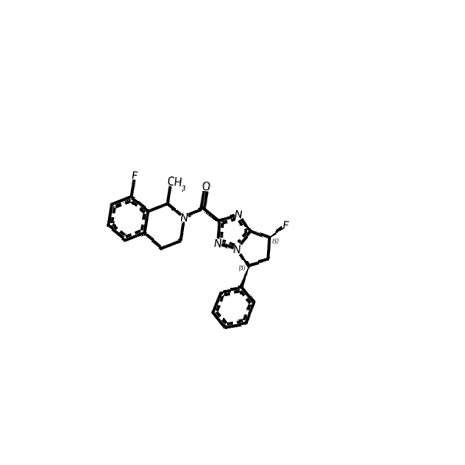 CC1c2c(F)cccc2CCN1C(=O)c1nc2n(n1)[C@H](c1ccccc1)C[C@@H]2F